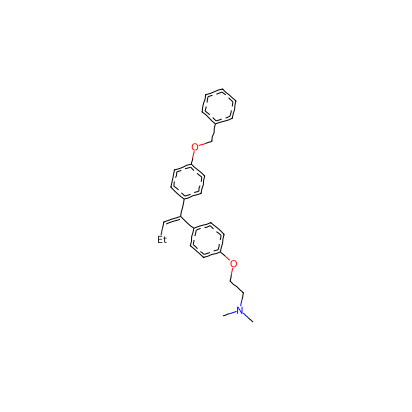 CC/C=C(\c1ccc(OCCN(C)C)cc1)c1ccc(OCc2ccccc2)cc1